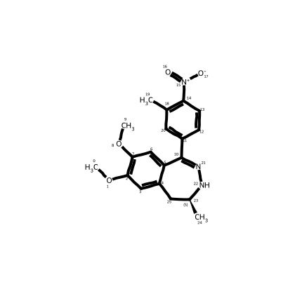 COc1cc2c(cc1OC)C(c1ccc([N+](=O)[O-])c(C)c1)=NN[C@@H](C)C2